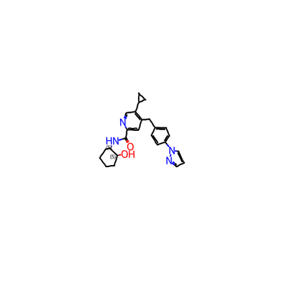 O=C(N[C@H]1CCCC[C@@H]1O)c1cc(Cc2ccc(-n3cccn3)cc2)c(C2CC2)cn1